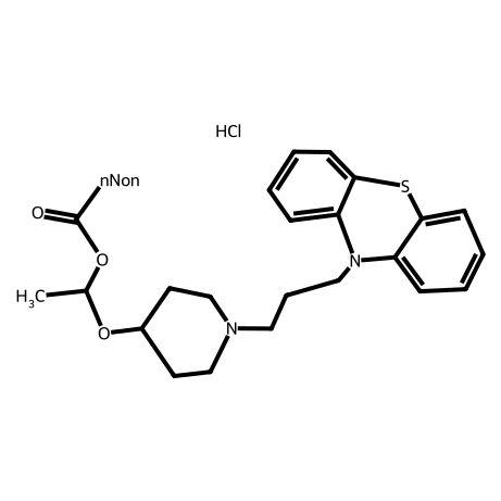 CCCCCCCCCC(=O)OC(C)OC1CCN(CCCN2c3ccccc3Sc3ccccc32)CC1.Cl